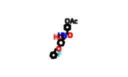 CC(=O)Oc1ccc(C(=O)NCC2(O)CCC(OCc3ccccc3F)CC2)cc1